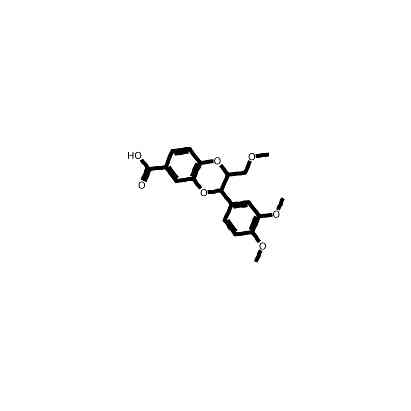 COCC1Oc2ccc(C(=O)O)cc2OC1c1ccc(OC)c(OC)c1